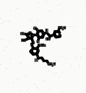 CCN(CCCC(=O)O)c1ccc(N=Nc2c(C#N)c(C(C)(C)C)nn2-c2c(Cl)cc(NC(O)c3cccc(S(=O)(=O)O)c3)cc2Cl)c(NC(C)=O)c1